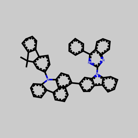 CC1(C)c2ccccc2-c2ccc(N(c3ccc(-c4ccc5c6ccccc6n(-c6nc(-c7ccccc7)c7ccccc7n6)c5c4)cc3)c3ccccc3-c3ccccc3)cc21